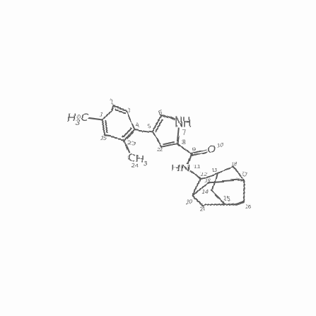 Cc1ccc(-c2c[nH]c(C(=O)NC3C4CC5CC(C4)CC3C5)c2)c(C)c1